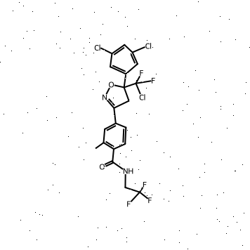 Cc1cc(C2=NOC(c3cc(Cl)cc(Cl)c3)(C(F)(F)Cl)C2)ccc1C(=O)NCC(F)(F)F